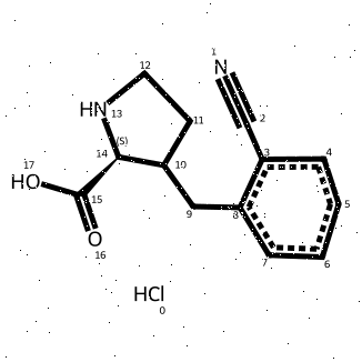 Cl.N#Cc1ccccc1CC1CCN[C@@H]1C(=O)O